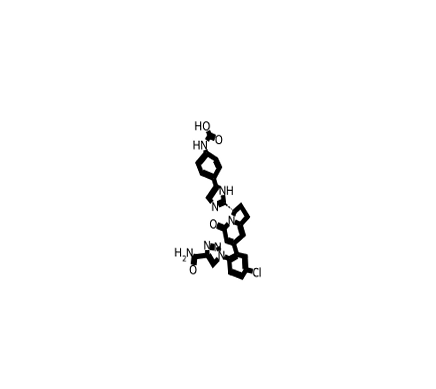 NC(=O)c1cn(-c2ccc(Cl)cc2-c2cc3n(c(=O)c2)[C@H](c2ncc(-c4ccc(NC(=O)O)cc4)[nH]2)CC3)nn1